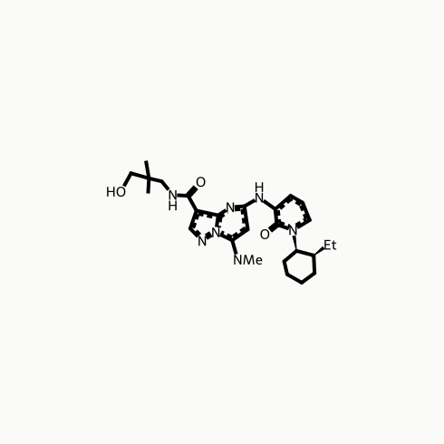 CC[C@H]1CCCC[C@H]1n1cccc(Nc2cc(NC)n3ncc(C(=O)NCC(C)(C)CO)c3n2)c1=O